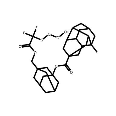 CC12CC3CC4C5CC(C(=O)OC67CC8CC(CC(COC(=O)C(F)(F)SOOO)(C8)C6)C7)(CC41)CC2C5C3